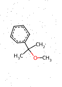 [CH2]C(C)(OC)c1ccccc1